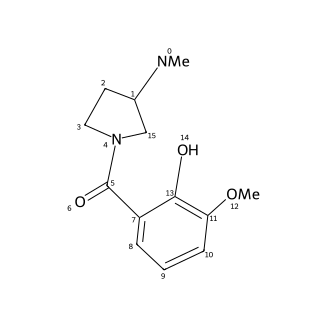 CNC1CCN(C(=O)c2cccc(OC)c2O)C1